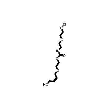 O=C(NCCOCCOCl)OCCOC/C=C\CO